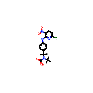 CC(C)(C)N(C(=O)O)C(C)(C)c1ccc(Nc2nc(Cl)ccc2[N+](=O)[O-])cc1